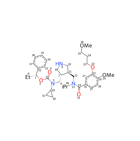 CC[C@@H](OC(=O)N(C[C@@H]1CNC[C@H]1CN(C(=O)c1ccc(OC)c(OCCCOC)c1)C(C)C)C1CC1)c1ccccc1